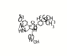 CCOc1ccc2c(n1)NCC(C(=O)c1cc(O)no1)[C@@H]2C(=O)Nc1ccc([Si](C)(C)C)c(F)c1